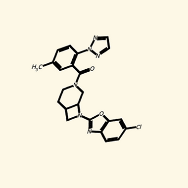 Cc1ccc(-n2nccn2)c(C(=O)N2CCC3CN(c4nc5ccc(Cl)cc5o4)C3C2)c1